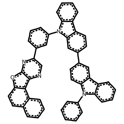 c1ccc(-n2c3ccccc3c3cc(-c4ccc5c6ccccc6n(-c6cccc(-c7cnc8c(n7)oc7ccc9ccccc9c78)c6)c5c4)ccc32)cc1